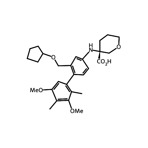 COc1cc(-c2ccc(N[C@]3(C(=O)O)CCCOC3)cc2COC2CCCC2)c(C)c(OC)c1C